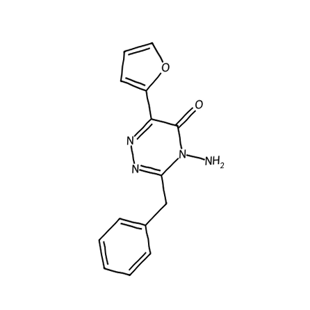 Nn1c(Cc2ccccc2)nnc(-c2ccco2)c1=O